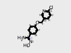 N/C(=N\O)c1ccc(OCc2ccc(Cl)nc2)cc1